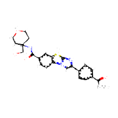 CNC(=O)c1ccc(-c2cn3c(n2)sc2cc(C(=O)NC4(CO)CCOCC4)ccc23)cc1